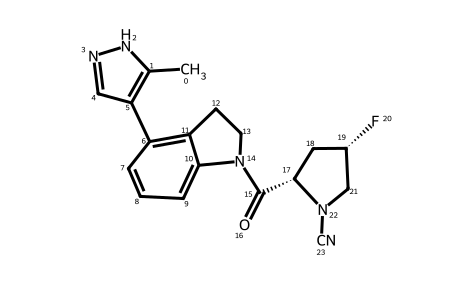 Cc1[nH]ncc1-c1cccc2c1CCN2C(=O)[C@@H]1C[C@H](F)CN1C#N